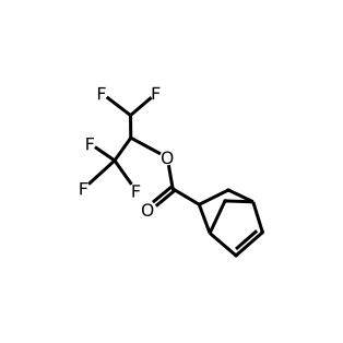 O=C(OC(C(F)F)C(F)(F)F)C1CC2C=CC1C2